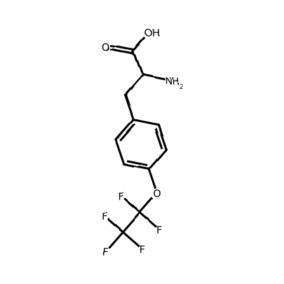 NC(Cc1ccc(OC(F)(F)C(F)(F)F)cc1)C(=O)O